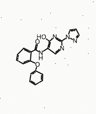 O=C(Nc1cnc(-n2cccn2)nc1O)c1ccccc1Oc1ccccc1